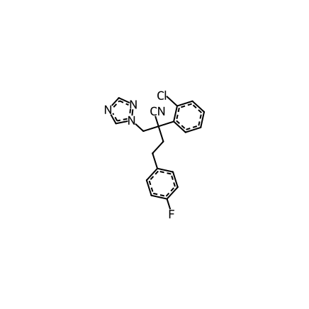 N#CC(CCc1ccc(F)cc1)(Cn1cncn1)c1ccccc1Cl